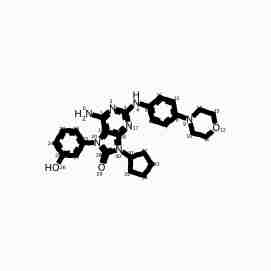 Nc1nc(Nc2ccc(N3CCOCC3)cc2)nc2c1n(-c1cccc(O)c1)c(=O)n2C1CCCC1